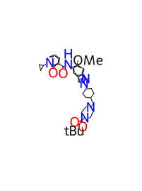 COc1cc2nn(C3CCC(CN4CCN(C(=O)OC(C)(C)C)CC4)CC3)cc2cc1NC(=O)c1cccn(C2CC2)c1=O